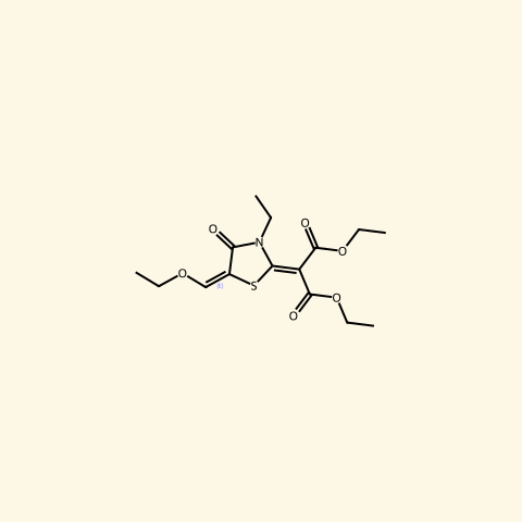 CCO/C=c1/sc(=C(C(=O)OCC)C(=O)OCC)n(CC)c1=O